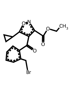 CCOC(=O)c1noc(C2CC2)c1C(=O)c1ccccc1CBr